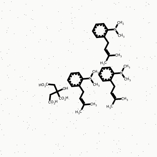 CC(C)=CCc1ccccc1N(C)C.CC(C)=CCc1ccccc1N(C)C.CC(C)=CCc1ccccc1N(C)C.O=C(O)CC(O)(CC(=O)O)C(=O)O